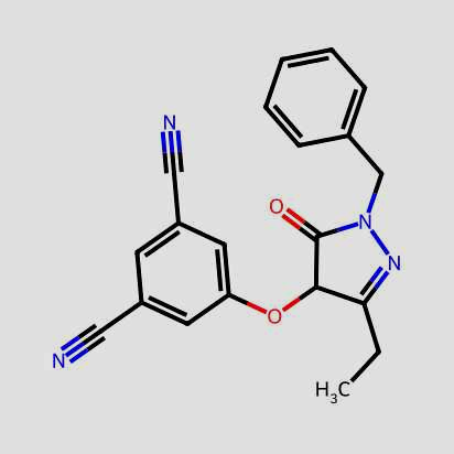 CCC1=NN(Cc2ccccc2)C(=O)C1Oc1cc(C#N)cc(C#N)c1